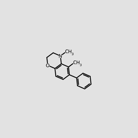 Cc1c(-c2ccccc2)ccc2c1N(C)CCO2